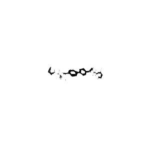 c1cc(-c2c[nH]c([C@@H]3CCCN3)n2)ccc1-c1ccc(-c2noc([C@@H]3CCCN3)n2)cc1